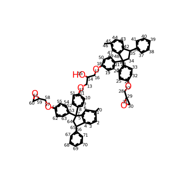 Cc1ccc2c(c1)C(c1ccc(OCC(O)COc3ccc(C4(c5ccc(OCC6CO6)cc5)CC(c5ccccc5)c5ccc(C)cc54)cc3)cc1)(c1ccc(OCC3CO3)cc1)CC2c1ccccc1